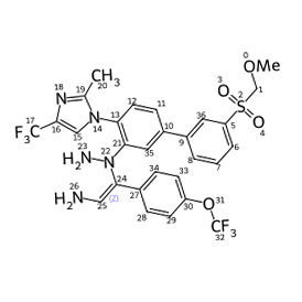 COCS(=O)(=O)c1cccc(-c2ccc(-n3cc(C(F)(F)F)nc3C)c(N(N)/C(=C\N)c3ccc(OC(F)(F)F)cc3)c2)c1